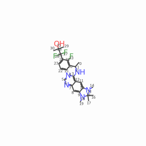 CC(Nc1ncnc2cc3c(cc12)N(C)C(C)(C)N3C)c1cccc(C(F)(F)C(C)(C)O)c1F